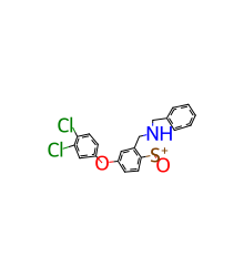 O=[S+]c1ccc(Oc2ccc(Cl)c(Cl)c2)cc1CNCc1ccccc1